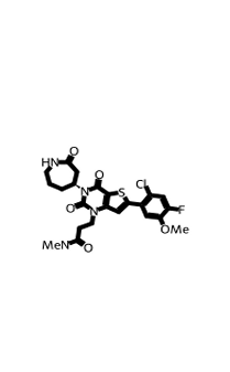 CNC(=O)CCn1c(=O)n([C@@H]2CCCNC(=O)C2)c(=O)c2sc(-c3cc(OC)c(F)cc3Cl)cc21